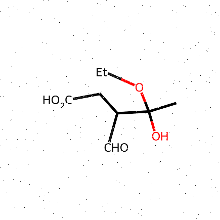 CCOC(C)(O)C(C=O)CC(=O)O